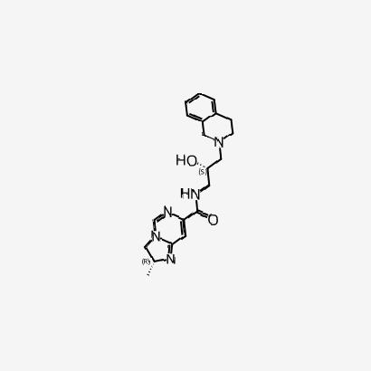 C[C@@H]1CN2C=NC(C(=O)NC[C@H](O)CN3CCc4ccccc4C3)=CC2=N1